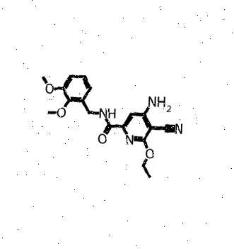 CCOc1nc(C(=O)NCc2cccc(OC)c2OC)cc(N)c1C#N